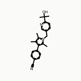 Cc1c(-c2ccc(C#N)cc2)c(C)n(Cc2ccc(C(C)(C)O)nc2)c1C